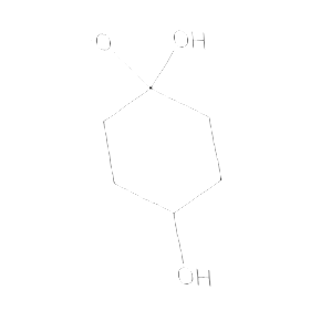 [O]C1(O)CCC(O)CC1